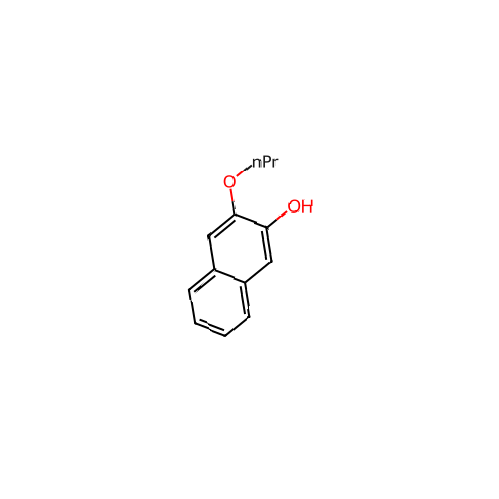 [CH2]CCOc1cc2ccccc2cc1O